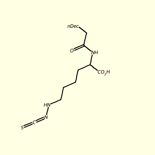 CCCCCCCCCCCC(=O)NC(CCCCNN=C=S)C(=O)O